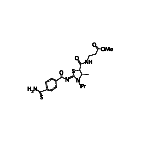 COC(=O)CCNC(=O)C1SC(=NC(=O)c2ccc(C(N)=S)cc2)N(C(C)C)C1C